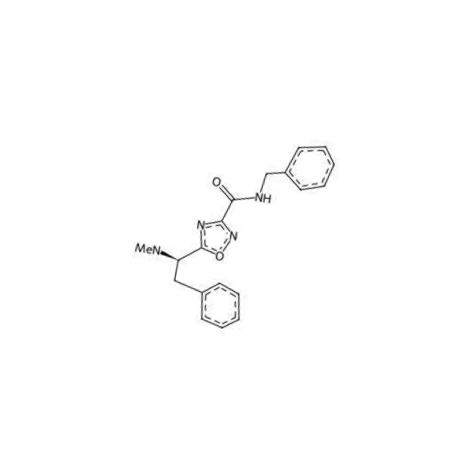 CN[C@H](Cc1ccccc1)c1nc(C(=O)NCc2ccccc2)no1